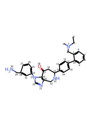 CCN(C)Cc1ccccc1-c1ccc(C2CC(=O)c3c(ncn3-c3cccc(CN)c3)CN2)cc1